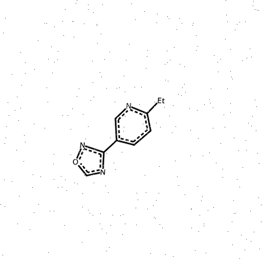 CCc1ccc(-c2ncon2)cn1